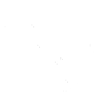 CS(=O)(=O)N1CCc2c(c(-c3ccc(C(F)(F)F)cc3)nn2CCCN2CCC(n3ccc4ccc(Cl)cc43)CC2)C1